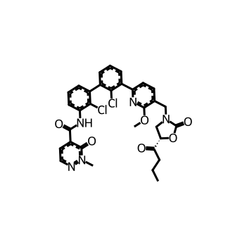 CCCC(=O)[C@@H]1CN(Cc2ccc(-c3cccc(-c4cccc(NC(=O)c5ccnn(C)c5=O)c4Cl)c3Cl)nc2OC)C(=O)O1